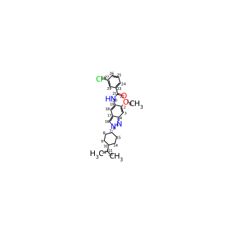 COc1cc2nn([C@H]3CC[C@H](C(C)C)CC3)cc2cc1NC(=O)c1cccc(Cl)c1